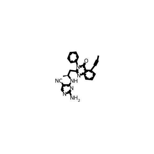 CC#Cc1cccc2nc(C[C@H](C)Nc3nc(N)ncc3C#N)n(-c3ccccc3)c(=O)c12